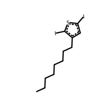 CCCCCCCCc1cc(I)sc1I